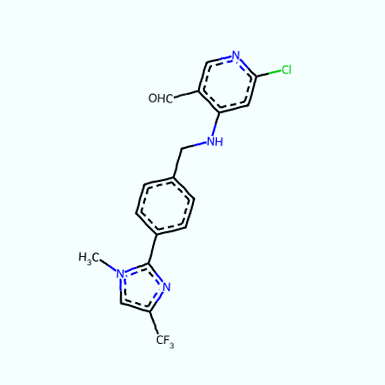 Cn1cc(C(F)(F)F)nc1-c1ccc(CNc2cc(Cl)ncc2C=O)cc1